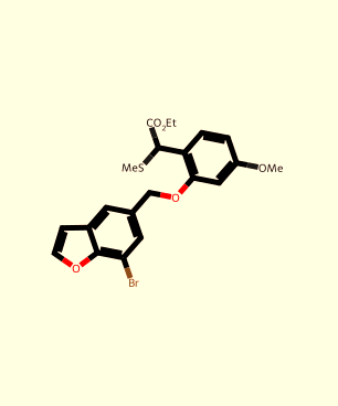 CCOC(=O)C(SC)c1ccc(OC)cc1OCc1cc(Br)c2occc2c1